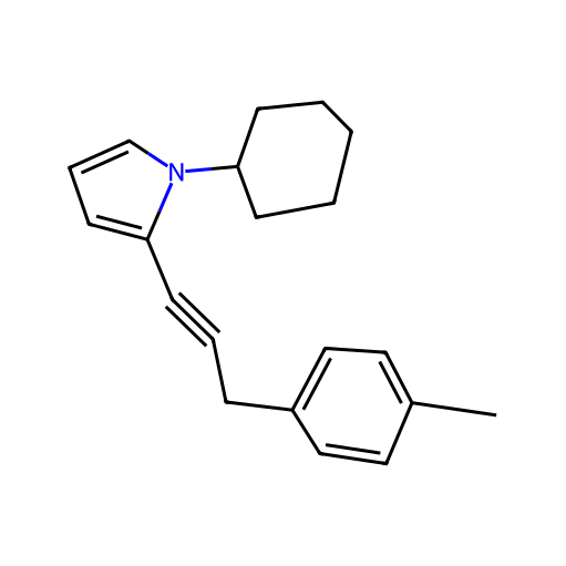 Cc1ccc(CC#Cc2cccn2C2CCCCC2)cc1